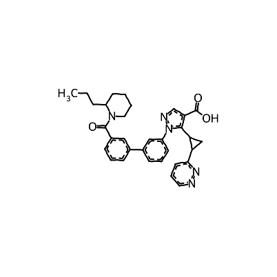 CCCC1CCCCN1C(=O)c1cccc(-c2cccc(-n3ncc(C(=O)O)c3C3CC3c3cccnn3)c2)c1